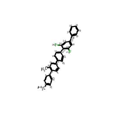 Cc1ccc(-c2ccc(-c3ccc(-c4c(F)cc(-c5ccccc5)cc4F)cc3)cc2C)cc1